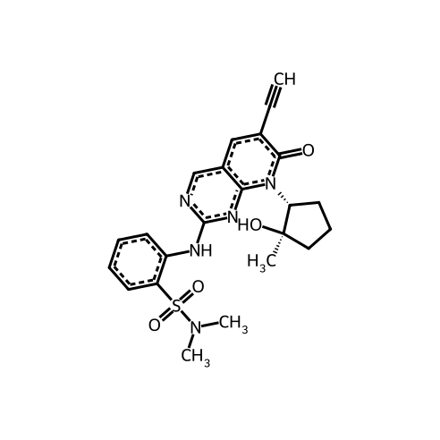 C#Cc1cc2cnc(Nc3ccccc3S(=O)(=O)N(C)C)nc2n([C@@H]2CCC[C@@]2(C)O)c1=O